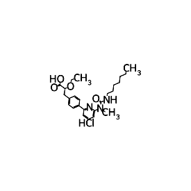 CCCCCCCNC(=O)N(C)c1cccc(-c2ccc(C[C@H](OCC)C(=O)O)cc2)n1.Cl